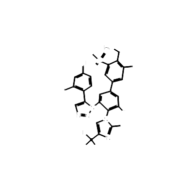 Cc1nc(C(F)(F)F)cn1-c1c(F)cc(-c2cc(F)c(CO)c(S(C)(=O)=O)c2)cc1-n1nncc1-c1ccc(Cl)cc1Cl